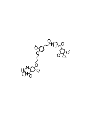 COc1cc(C=CC(=O)N2CCN(C(=O)c3cc(OC)c(OC)c(OC)c3)CC2)ccc1OCCCCOc1cc2c(cc1OC)C(=O)N1CCC[C@H]1C=N2